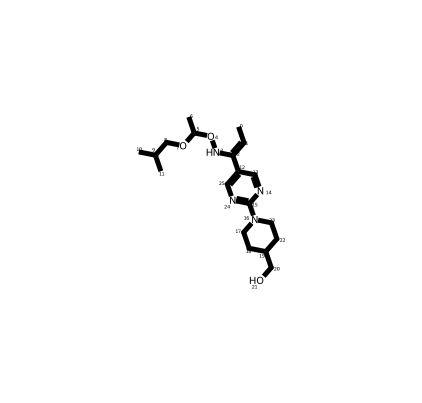 CC=C(NOC(C)OCC(C)C)c1cnc(N2CCC(CO)CC2)nc1